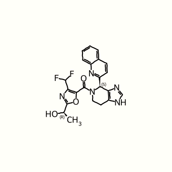 C[C@@H](O)c1nc(C(F)F)c(C(=O)N2CCc3[nH]cnc3[C@@H]2c2ccc3ccccc3n2)o1